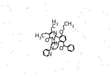 CCCOc1ccc(C(=O)c2ccccc2)c(N2CCN(c3ccccn3)CC2)c1-c1nc(CC)c(CC)c(=O)[nH]1